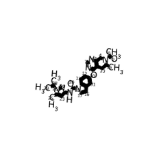 CC(=O)N1Cc2ncnc(Oc3ccc4c(ccn4C(=O)Nc4cc(C)n(C(C)C)n4)c3)c2CC1C